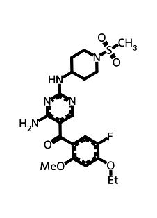 CCOc1cc(OC)c(C(=O)c2cnc(NC3CCN(S(C)(=O)=O)CC3)nc2N)cc1F